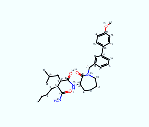 CCCC[C@H](C(N)=O)[C@@H](CC(C)C)C(=O)N[C@H]1CCCCN(Cc2cccc(-c3ccc(OC)cc3)c2)C1=O